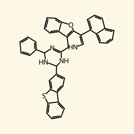 C1=C(c2cccc3ccccc23)c2oc3ccccc3c2C(C2=NC(c3ccccc3)NC(c3ccc4c(c3)sc3ccccc34)N2)N1